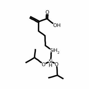 C=C(CCC[SiH2][SiH](OC(C)C)OC(C)C)C(=O)O